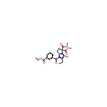 CCOC(=O)c1cccc(C(=O)c2c(CC)c(Br)c3n2CCC3(C(=O)OC)C(=O)OC)c1